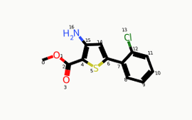 COC(=O)c1sc(-c2ccccc2Cl)cc1N